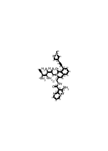 B/C(C#C)=C(B)/C(B)=C(/B)Cn1c([C@@H](C)NC(=O)c2c(N)nn3cccnc23)cc2cccc(C#Cc3cnn(C)c3)c2c1=O